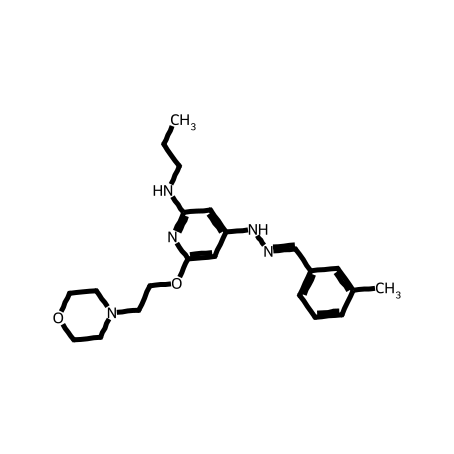 CCCNc1cc(N/N=C/c2cccc(C)c2)cc(OCCN2CCOCC2)n1